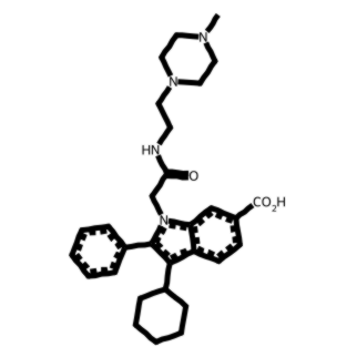 CN1CCN(CCNC(=O)Cn2c(-c3ccccc3)c(C3CCCCC3)c3ccc(C(=O)O)cc32)CC1